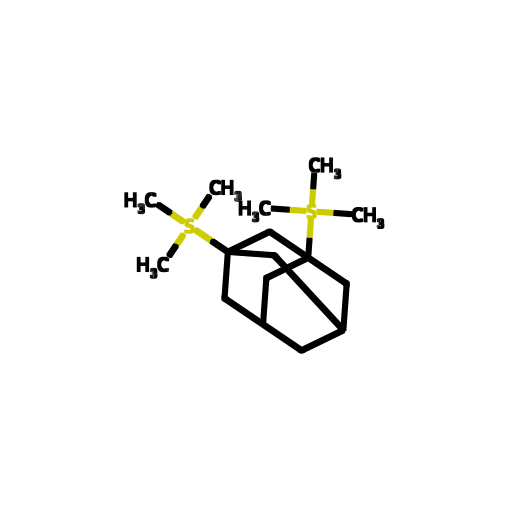 CS(C)(C)C12CC3CC(C1)CC(S(C)(C)C)(C3)C2